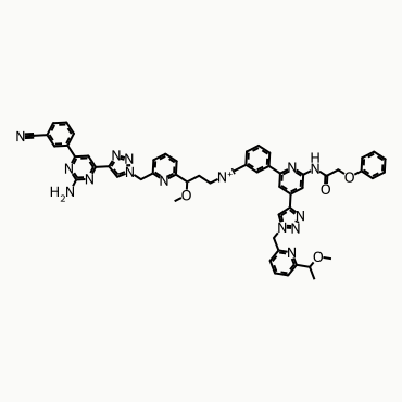 COC(C)c1cccc(Cn2cc(-c3cc(NC(=O)COc4ccccc4)nc(-c4cccc(C#[N+]CCC(OC)c5cccc(Cn6cc(-c7cc(-c8cccc(C#N)c8)nc(N)n7)nn6)n5)c4)c3)nn2)n1